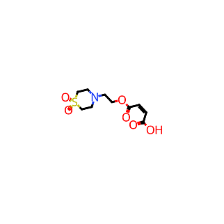 O=C(O)/C=C\C(=O)OCCN1CCS(=O)(=O)CC1